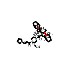 C=CC(=O)N1CC2CCC(C1)N2C(C)(CCC(C)(C)N1CC2CCC(C1)N2C(=O)C=C)CCC(C)(C)N1CCN(C(=O)/C=C/N2CCCC2)[C@@H](CC#N)C1